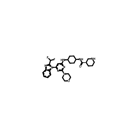 O=C(NC1CCC(Nc2cc(-n3c(C(F)F)nc4ccccc43)nc(N3CCOCC3)n2)CC1)[C@@H]1CCCNC1